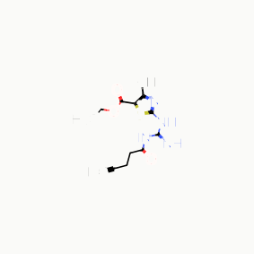 C#CCCC(=O)NC(=N)Nc1nc(C)c(C(=O)OCC)s1